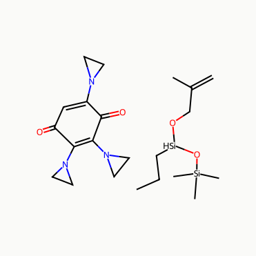 C=C(C)CO[SiH](CCC)O[Si](C)(C)C.O=C1C=C(N2CC2)C(=O)C(N2CC2)=C1N1CC1